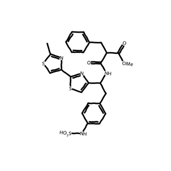 COC(=O)C(Cc1ccccc1)C(=O)NC(Cc1ccc(NS(=O)(=O)O)cc1)c1csc(-c2csc(C)n2)n1